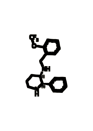 FC(F)(F)Oc1ccccc1CN[C@H]1CCCN[C@H]1c1ccccc1